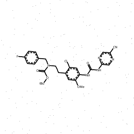 COc1cc(CCN(Cc2ccc(F)cc2)C(=O)OC(C)(C)C)c(Cl)cc1NC(=O)Nc1cnc(C#N)cn1